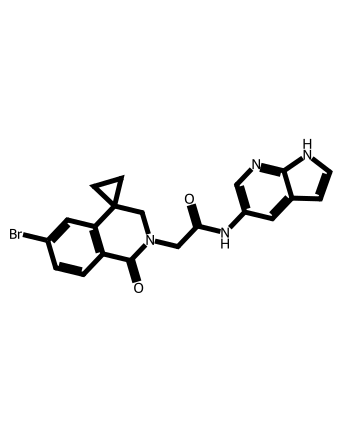 O=C(CN1CC2(CC2)c2cc(Br)ccc2C1=O)Nc1cnc2[nH]ccc2c1